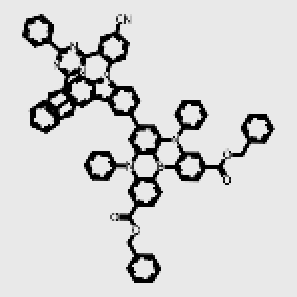 N#Cc1ccc(-n2c3ccc(-c4ccccc4)cc3c3cc(-c4cc5c6c(c4)N(c4ccccc4)c4cc(C(=O)OCc7ccccc7)ccc4B6c4ccc(C(=O)OCc6ccccc6)cc4N5c4ccccc4)ccc32)c(-c2nc(-c3ccccc3)nc(-c3ccccc3)n2)c1